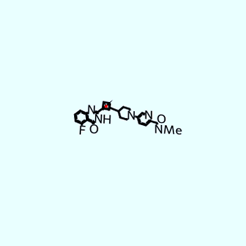 CNC(=O)c1ccc(N2CCC(N3CC4(c5nc6cccc(F)c6c(=O)[nH]5)CC3C4)CC2)cn1